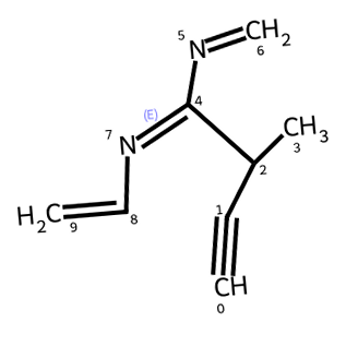 C#CC(C)/C(N=C)=N\C=C